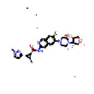 C[C@@H]1[C@H](C(=O)Nc2cc3cc(N4CCN([C@]5(C)COC[C@@H]5O)CC4)c(Cl)cc3cn2)[C@H]1c1ccn(C)n1